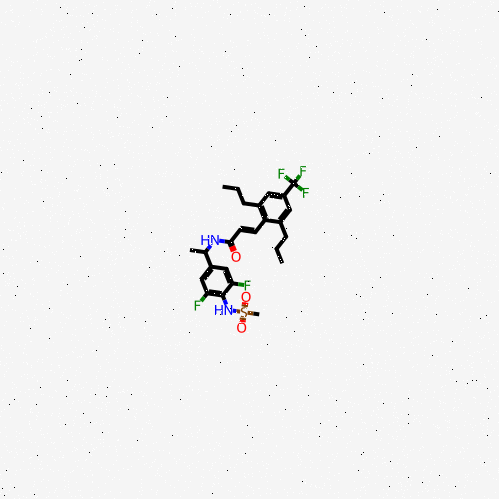 CCCc1cc(C(F)(F)F)cc(CCC)c1C=CC(=O)NC(C)c1cc(F)c(NS(C)(=O)=O)c(F)c1